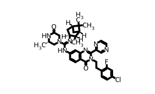 C[C@@H]1[C@@H](N=C(Nc2ccc3c(=O)n(CCc4ccc(Cl)cc4F)c(-c4cnccn4)nc3c2)N2CC(=O)N[C@@H](C)C2)C[C@H]2C[C@@H]1C2(C)C